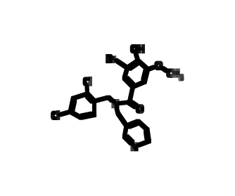 COc1cc(C(=O)N(Cc2cccnc2)Cc2ccc(Cl)cc2Cl)cc(Br)c1O